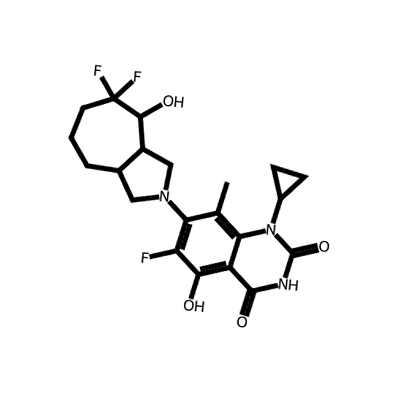 Cc1c(N2CC3CCCC(F)(F)C(O)C3C2)c(F)c(O)c2c(=O)[nH]c(=O)n(C3CC3)c12